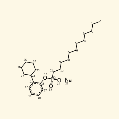 CCCCCCCCCCCCP(=O)([O-])Oc1ccccc1C1CCCCC1.[Na+]